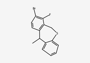 CC1c2ccccc2SCc2c1ccc(Br)c2F